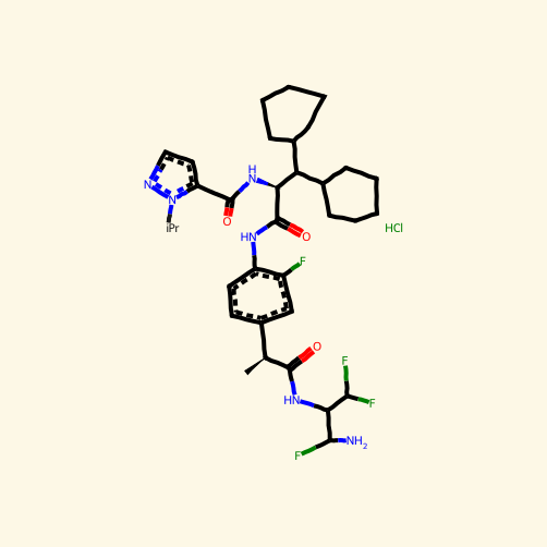 CC(C)n1nccc1C(=O)N[C@H](C(=O)Nc1ccc([C@H](C)C(=O)NC(C(N)F)C(F)F)cc1F)C(C1CCCCC1)C1CCCCC1.Cl